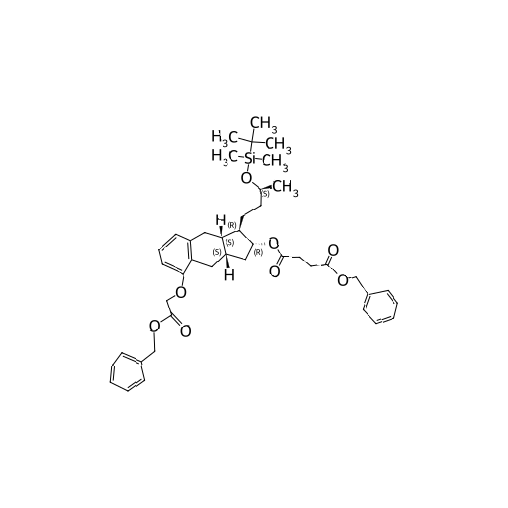 C[C@@H](CC[C@@H]1[C@H]2Cc3cccc(OCC(=O)OCc4ccccc4)c3C[C@H]2C[C@H]1OC(=O)CCC(=O)OCc1ccccc1)O[Si](C)(C)C(C)(C)C